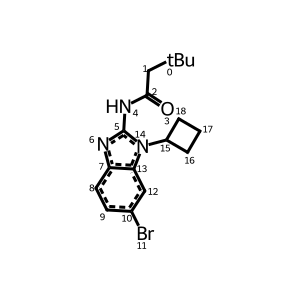 CC(C)(C)CC(=O)Nc1nc2ccc(Br)cc2n1C1CCC1